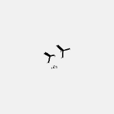 C=C(C)C.C=C(C)C.[Zn]